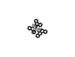 N=C(NC(NCc1c2ccccc2cc2c1ccc1ccccc12)c1cc2ccccc2c2ccccc12)c1ccccc1-c1ccccc1